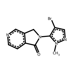 Cn1ncc(Br)c1N1Cc2cnccc2C1=O